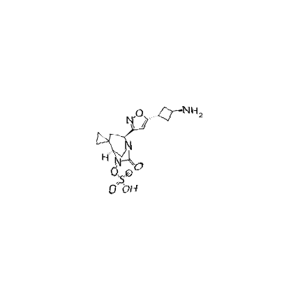 N[C@H]1C[C@H](c2cc([C@@H]3CC4(CC4)[C@H]4CN3C(=O)N4OS(=O)(=O)O)no2)C1